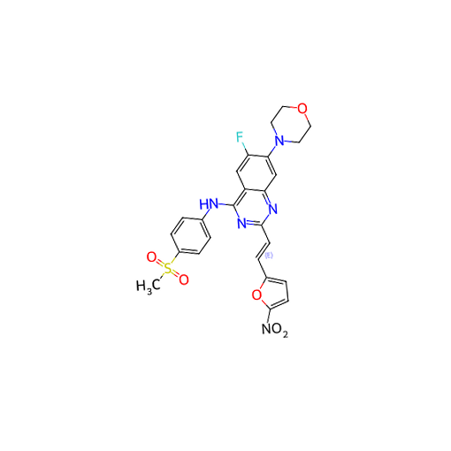 CS(=O)(=O)c1ccc(Nc2nc(/C=C/c3ccc([N+](=O)[O-])o3)nc3cc(N4CCOCC4)c(F)cc23)cc1